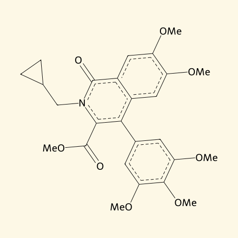 COC(=O)c1c(-c2cc(OC)c(OC)c(OC)c2)c2cc(OC)c(OC)cc2c(=O)n1CC1CC1